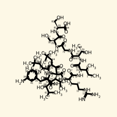 CCC(C)[C@H](NC(=O)[C@@H](CCCNC(=N)N)NC(=O)[C@](C(=O)[C@@H](N)CC(C)(C)C)(C(C(=O)[C@@H](N)Cc1cccc(N)c1)C(C)C)N(C(=O)[C@H](N)CC(C)(C)C)C(=O)[C@@H](N)[C@H](O)C(C)C)C(=O)N[C@H](C(=O)NCC(=O)N[C@@H](CO)C(=O)N[C@@H](CO)C(=O)O)[C@H](C)O